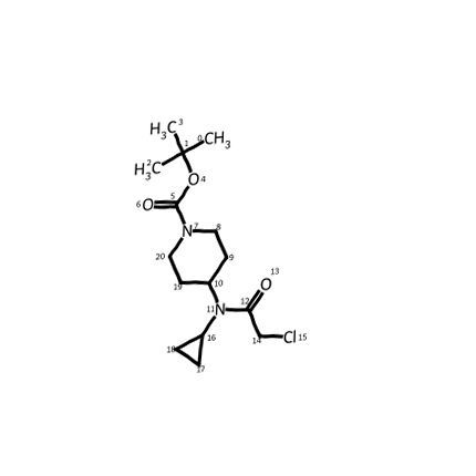 CC(C)(C)OC(=O)N1CCC(N(C(=O)CCl)C2CC2)CC1